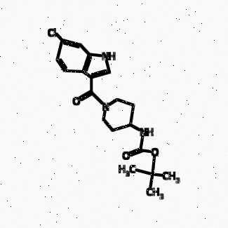 CC(C)(C)OC(=O)NC1CCN(C(=O)c2c[nH]c3cc(Cl)ccc23)CC1